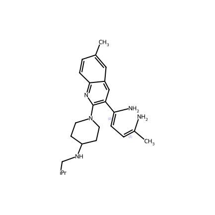 C/C(N)=C/C=C(\N)c1cc2cc(C)ccc2nc1N1CCC(NCC(C)C)CC1